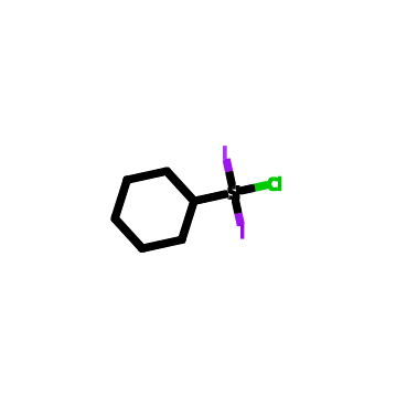 Cl[Si](I)(I)C1CCCCC1